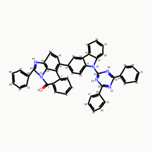 O=c1c2ccccc2c2c(-c3ccc4c(c3)c3ccccc3n4-c3nc(-c4ccccc4)nc(-c4ccccc4)n3)ccc3nc(-c4ccccc4)n1c32